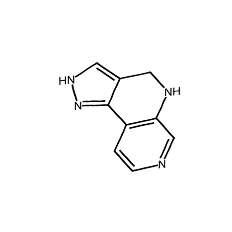 c1cc2c(cn1)NCc1c[nH]nc1-2